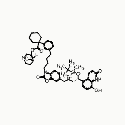 CC(C)(C)[Si](C)(C)O[C@@H](CNCc1ccc2c(c1)oc(=O)n2CCCCc1cccc(C2(C(=O)O[C@H]3CN4CCC3CC4)CCCCC2)c1)c1ccc(O)c2[nH]c(=O)ccc12